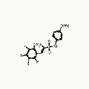 COc1ccc(NS(=O)(=O)/C(=C/c2c(F)c(F)c(F)c(F)c2F)[N+](=O)[O-])cc1